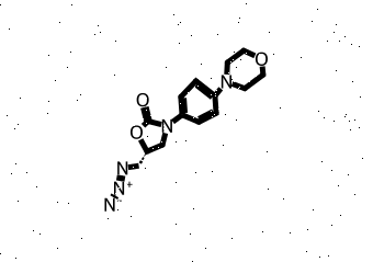 [N-]=[N+]=NC[C@H]1CN(c2ccc(N3CCOCC3)cc2)C(=O)O1